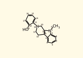 Cn1c2c(c3ccccc31)CCN(c1ccccc1O)C2